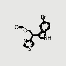 O=COCC(c1cscn1)c1c[nH]c2ccc(Br)cc12